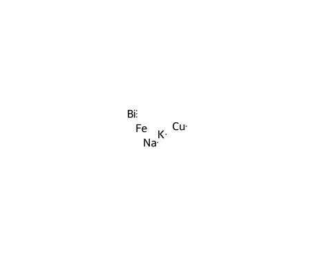 [Bi].[Cu].[Fe].[K].[Na]